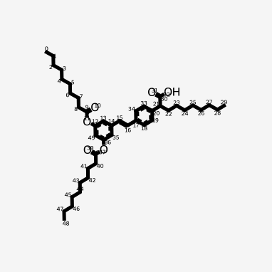 CCCCCCCCCC(=O)Oc1cc(/C=C/c2ccc(C(CCCCCCCC)C(=O)O)cc2)cc(OC(=O)CCCCCCCCC)c1